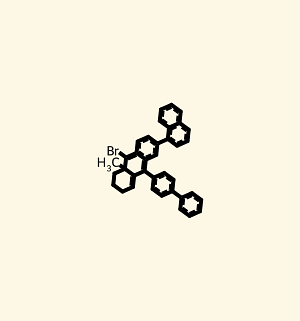 CC12CCCC=C1C(c1ccc(-c3ccccc3)cc1)=c1cc(-c3cccc4ccccc34)ccc1=C2Br